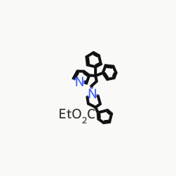 CCOC(=O)C1(c2ccccc2)CCN(CCC(c2ccccc2)(c2ccccc2)c2cccnc2)CC1